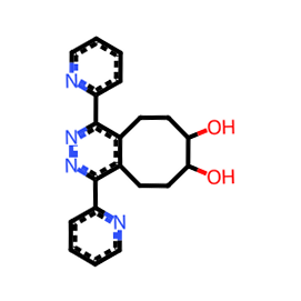 OC1CCc2c(-c3ccccn3)nnc(-c3ccccn3)c2CCC1O